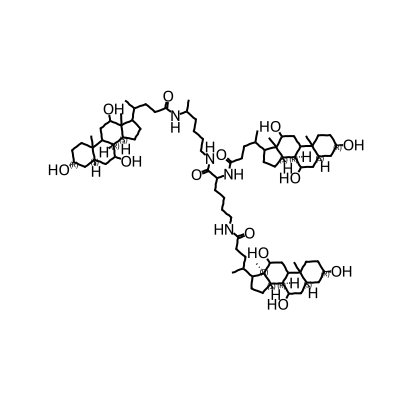 CC(CCCCNC(=O)C(CCCCNC(=O)CCC(C)C1CC[C@H]2[C@@H]3C(O)C[C@@H]4C[C@H](O)CCC4(C)C3CC(O)[C@]12C)NC(=O)CCC(C)C1CC[C@H]2[C@@H]3C(O)C[C@@H]4C[C@H](O)CCC4(C)C3CC(O)C12C)NC(=O)CCC(C)C1CC[C@H]2[C@@H]3C(O)C[C@@H]4C[C@H](O)CCC4(C)C3CC(O)C12C